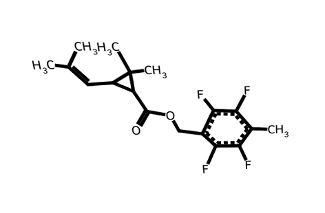 CC(C)=CC1C(C(=O)OCc2c(F)c(F)c(C)c(F)c2F)C1(C)C